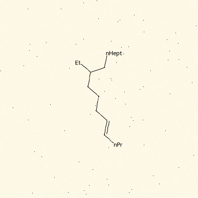 [CH2]CC/C=C/CCCC(CC)CCCCCCC[CH2]